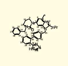 CCCc1nc2c(C)cc(N3CCCN(Cc4ccccc4)C3=O)cc2n1Cc1ccc(-c2ccccc2-c2nnn[nH]2)cc1